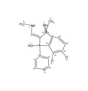 CN/C=C(\C=N)C(O)(c1ccncc1)c1c(OC)ccc(Cl)c1Cl